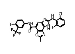 Cc1nc2c(o1)c(C(=O)Nc1ccc(F)c(C(F)(F)F)c1)cc1nc(Nc3c(F)cccc3Cl)[nH]c12